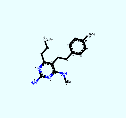 CCCCNc1nc(N)nc(CCC(=O)OCC)c1CCc1ccc(OC)cc1